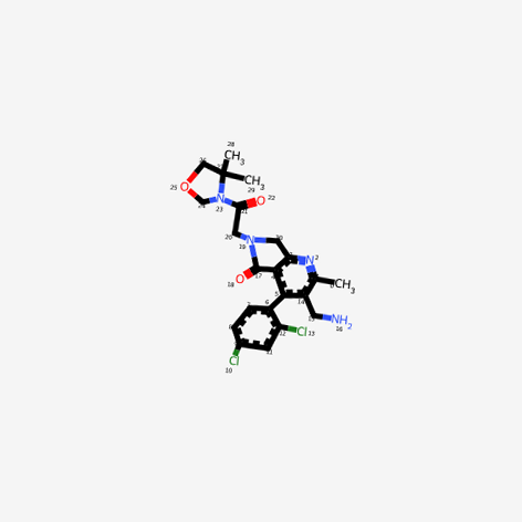 Cc1nc2c(c(-c3ccc(Cl)cc3Cl)c1CN)C(=O)N(CC(=O)N1COCC1(C)C)C2